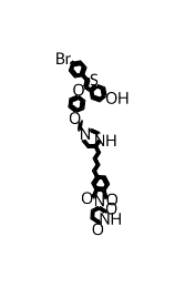 O=C1CCC(N2C(=O)c3ccc(CCCCC4CCN(CCOc5ccc(Oc6c(-c7ccc(Br)cc7)sc7cc(O)ccc67)cc5)CCN4)cc3C2=O)C(=O)N1